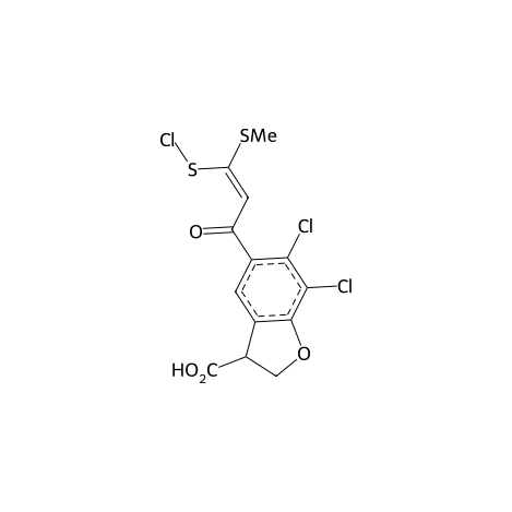 CSC(=CC(=O)c1cc2c(c(Cl)c1Cl)OCC2C(=O)O)SCl